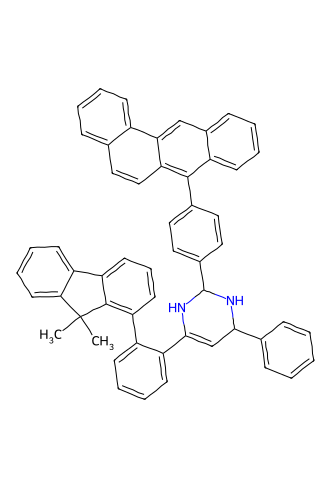 CC1(C)c2ccccc2-c2cccc(-c3ccccc3C3=CC(c4ccccc4)NC(c4ccc(-c5c6ccccc6cc6c5ccc5ccccc56)cc4)N3)c21